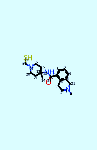 CN1CCc2c(cccc2C(=O)NC2(C)CCN(CS)CC2)C1